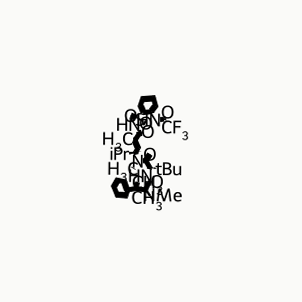 CN[C@H](C(=O)N[C@H](C(=O)N(C)[C@H](/C=C(\C)C(=O)NS(=O)(=O)c1ccccc1NC(=O)C(F)(F)F)C(C)C)C(C)(C)C)C(C)(C)c1ccccc1